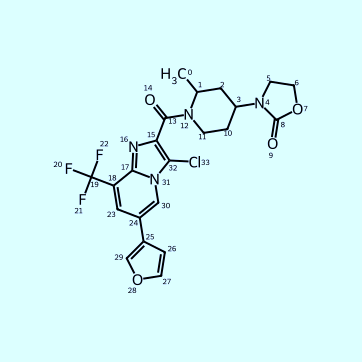 CC1CC(N2CCOC2=O)CCN1C(=O)c1nc2c(C(F)(F)F)cc(-c3ccoc3)cn2c1Cl